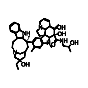 CCC1(O)CC2C[N@](CCc3c([nH]c4ccccc34)[C@@](C)(c3cc4c(cc3C)N(C)C3[C@]45CCN4CC=C[C@](CC)(C45)[C@@H](O)[C@]3(O)C(=O)NCC(C)O)C2)C1